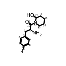 N[C@@H](Cc1ccc(F)cc1)C(=O)N1CCCCC1O